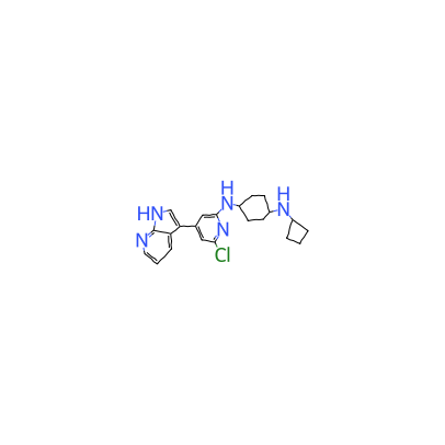 Clc1cc(-c2c[nH]c3ncccc23)cc(NC2CCC(NC3CCC3)CC2)n1